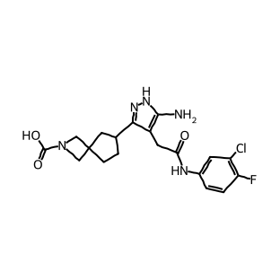 Nc1[nH]nc(C2CCC3(C2)CN(C(=O)O)C3)c1CC(=O)Nc1ccc(F)c(Cl)c1